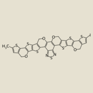 Cc1cc2c(s1)-c1sc3c4c(sc3c1OC2)-c1c(c2c(c3nsnc13)-c1sc3c5c(sc3c1CO2)-c1sc(I)cc1CO5)OC4